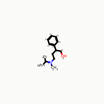 CCCC(CC)N(C)CCC(CO)c1ccccc1